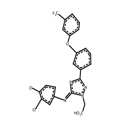 O=C(O)Cn1nc(-c2cccc(Oc3cccc(C(F)(F)F)c3)c2)sc1=Nc1ccc(Cl)c(Cl)c1